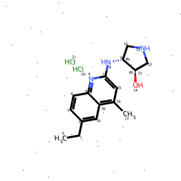 CCc1ccc2nc(N[C@@H]3CNC[C@H]3O)cc(C)c2c1.Cl.Cl